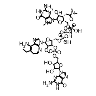 CCC1=C(N)c2ncn([C@@H]3O[C@H](COP(=O)(O)OP(=O)(O)NP(=O)(O)OC[C@H]4O[C@@H](n5c[n+](C)c6c(=O)[nH]c(N)nc65)[C@H](O)[C@@H]4CC(=O)N(C)C)[C@@H](OP(=O)([O-])OC[C@H]4O[C@@H](n5cnc6c(=O)[nH]c(N)nc65)[C@H](O)[C@@H]4O)[C@H]3OC)c2N=CC1